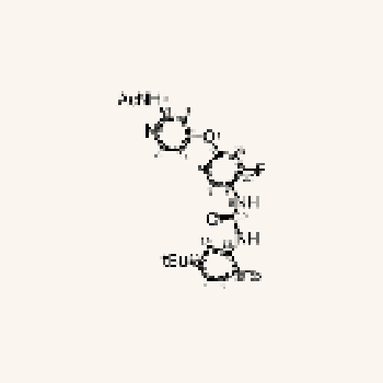 CC(=O)Nc1cc(Oc2ccc(NC(=O)Nc3cc(C(C)(C)C)ccc3C)c(F)c2)ccn1